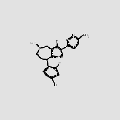 CN1CCC(c2ccc(Cl)cc2F)c2ccc(-c3ccc(N)nn3)c(F)c2C1